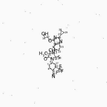 CC1(C)C(=O)N(c2ccc(C#N)c(C(F)(F)F)c2)C(=S)N1c1ccc2nc(C3CC3)nc(OCCO)c2c1